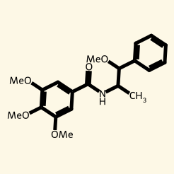 COc1cc(C(=O)NC(C)C(OC)c2ccccc2)cc(OC)c1OC